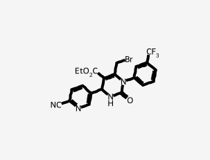 CCOC(=O)C1=C(CBr)N(c2cccc(C(F)(F)F)c2)C(=O)NC1c1ccc(C#N)nc1